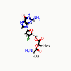 CCCCCCC(OC(=O)[C@@H](N)[C@@H](C)CC)C(=O)OC[C@H]1O[C@@H](n2cnc3c(=O)[nH]c(N)nc32)CC1F